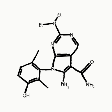 CCN(CC)c1ncc2c(C(N)=O)c(N)n(-c3c(C)ccc(O)c3C)c2n1